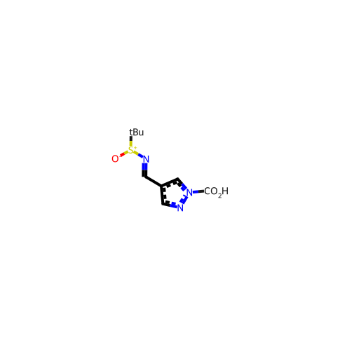 CC(C)(C)[S+]([O-])N=Cc1cnn(C(=O)O)c1